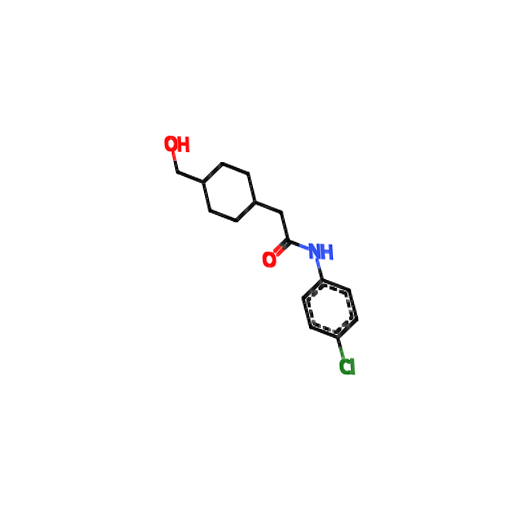 O=C(CC1CCC(CO)CC1)Nc1ccc(Cl)cc1